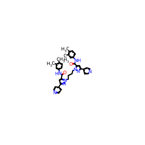 Cc1ccc(NC(=O)c2cc(-c3ccncc3)nn2CCCCn2nc(-c3ccncc3)cc2C(=O)Nc2ccc(C)c(C)c2)cc1C